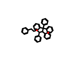 c1ccc(CCCC([C](c2ccccc2)C(c2ccccc2)(c2ccccc2)c2ccccc2)c2ccccc2)cc1